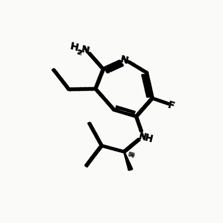 CCC1C=C(N[C@@H](C)C(C)C)C(F)=CN=C1N